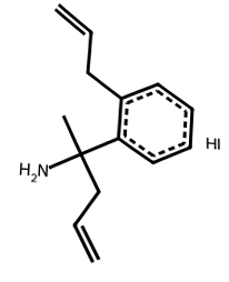 C=CCc1ccccc1C(C)(N)CC=C.I